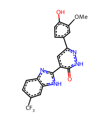 COc1cc(-c2cc(-c3nc4ccc(C(F)(F)F)cc4[nH]3)c(=O)[nH]n2)ccc1O